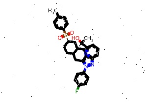 Cc1ccc(S(=O)(=O)[C@H]2CCC3Cc4c(cnn4-c4ccc(F)cc4)C[C@]3(C(C)(O)c3ccccn3)C2)cc1